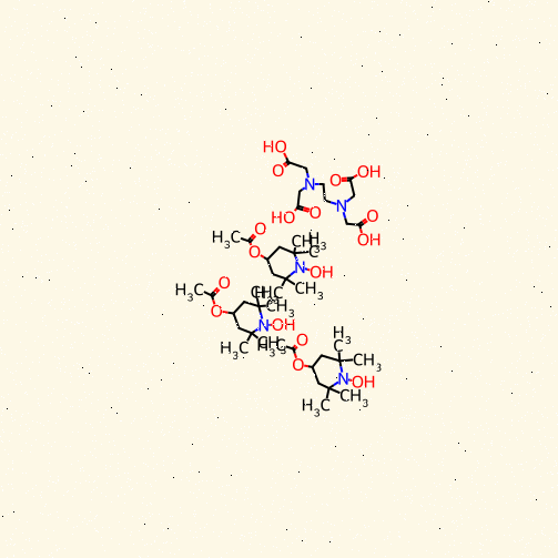 CC(=O)OC1CC(C)(C)N(O)C(C)(C)C1.CC(=O)OC1CC(C)(C)N(O)C(C)(C)C1.CC(=O)OC1CC(C)(C)N(O)C(C)(C)C1.O=C(O)CN(CCN(CC(=O)O)CC(=O)O)CC(=O)O